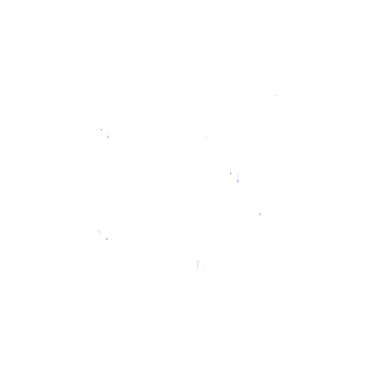 CC(=O)N1CC(c2cncc(-c3cnc4ccn5c(C)c(-c6c(Cl)cccc6Cl)nc5c4c3)c2)C1